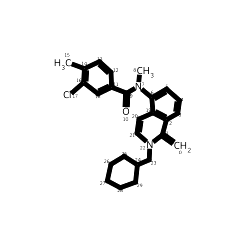 C=C1c2cccc(N(C)C(=O)c3ccc(C)c(Cl)c3)c2C=CN1CC1CCCCC1